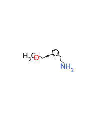 COCCC#Cc1cccc(CCCN)c1